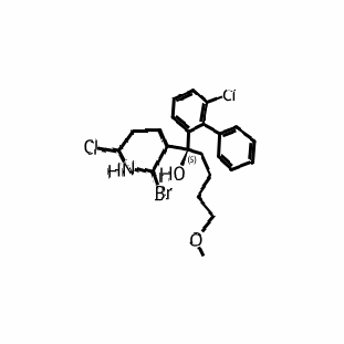 COCCCC[C@@](O)(c1cccc(Cl)c1-c1ccccc1)C1CCC(Cl)NC1Br